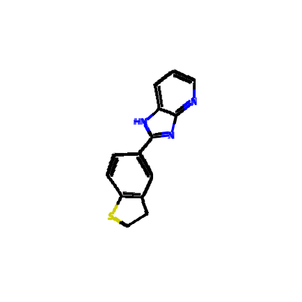 c1cnc2nc(-c3ccc4c(c3)CCS4)[nH]c2c1